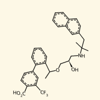 CC(OC[C@H](O)CNC(C)(C)Cc1ccc2ccccc2c1)c1ccccc1-c1ccc(C(=O)O)c(C(F)(F)F)c1